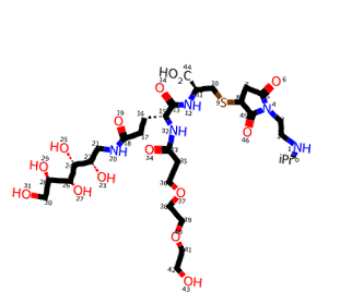 CC(C)NCCN1C(=O)CC(SC[C@@H](NC(=O)[C@@H](CCC(=O)NC[C@H](O)[C@@H](O)[C@H](O)[C@H](O)CO)NC(=O)CCOCCOCCO)C(=O)O)C1=O